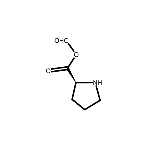 O=COC(=O)[C@@H]1CCCN1